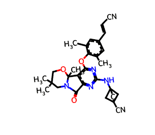 Cc1cc(/C=C/C#N)cc(C)c1Oc1nc(NC23CC(C#N)(C2)C3)nc2c1C1(C)OCC(C)(C)CN1C2=O